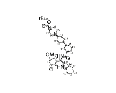 COc1ccc(Cl)cc1[C@@H](NC(=O)c1cccc(-c2ccc(N3CCN(C(=O)OC(C)(C)C)CC3)cc2)c1)c1cc2ccccc2[nH]1